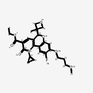 CCOC(=O)c1cc2c(n(C3CC3)c1=O)-c1cc(F)c(OCCCOC)cc1OC2C1(C)COC1